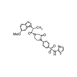 COc1ccc2ccn(C(C)C(=O)N3CCN(c4ccc(S(=O)(=O)Nc5nccs5)cc4)C(=O)C3)c2c1